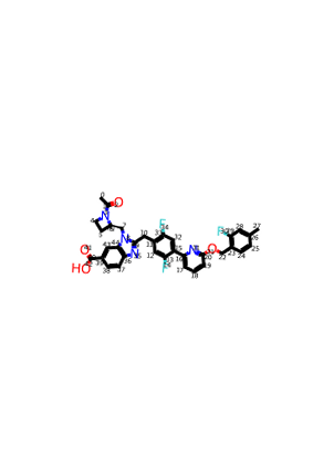 CC(=O)N1CC[C@@H]1Cn1c(Cc2cc(F)c(-c3cccc(OCc4ccc(C)cc4F)n3)cc2F)nc2ccc(C(=O)O)cc21